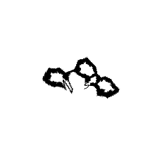 c1ccc(-c2cccc3c2sc2ccccc23)nc1